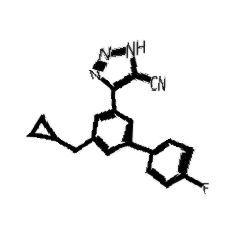 N#Cc1[nH]nnc1-c1cc(CC2CC2)cc(-c2ccc(F)cc2)c1